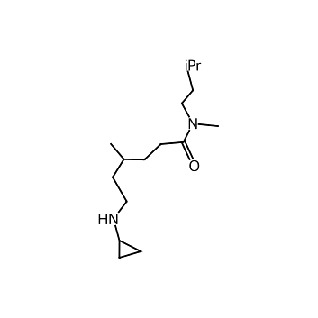 CC(C)CCN(C)C(=O)CCC(C)CCNC1CC1